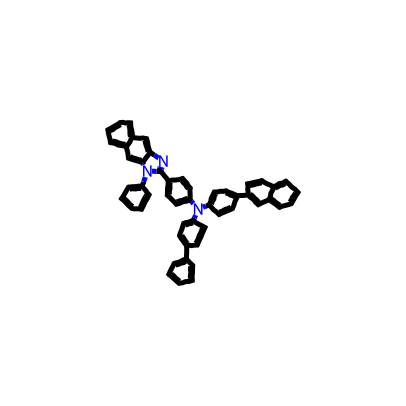 c1ccc(-c2ccc(N(c3ccc(-c4ccc5ccccc5c4)cc3)c3ccc(-c4nc5cc6ccccc6cc5n4-c4ccccc4)cc3)cc2)cc1